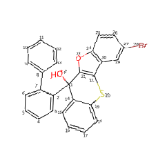 OC1(c2ccccc2-c2ccccc2)c2ccccc2Sc2c1oc1ccc(Br)cc21